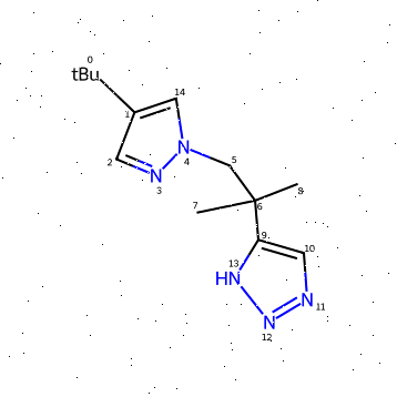 CC(C)(C)c1cnn(CC(C)(C)c2cnn[nH]2)c1